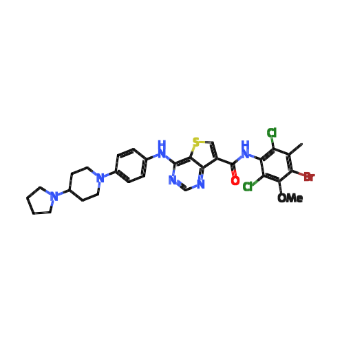 COc1c(Cl)c(NC(=O)c2csc3c(Nc4ccc(N5CCC(N6CCCC6)CC5)cc4)ncnc23)c(Cl)c(C)c1Br